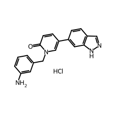 Cl.Nc1cccc(Cn2cc(-c3ccc4cn[nH]c4c3)ccc2=O)c1